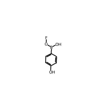 OB(OF)c1ccc(O)cc1